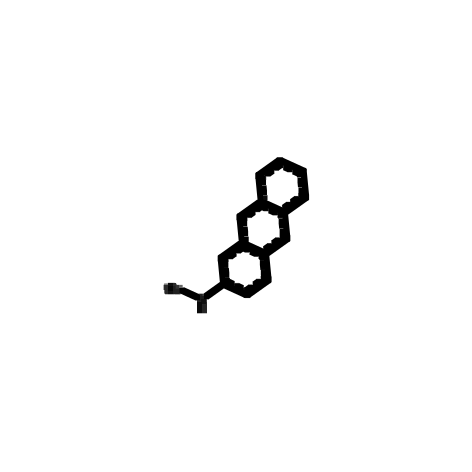 CC(C)(C)Nc1ccc2cc3ccccc3cc2c1